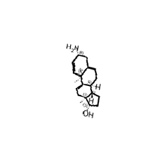 C[C@]12CC=C3[C@@H](CCC4C[C@@H](N)C=C[C@]34C)[C@@H]1CC[C@@H]2O